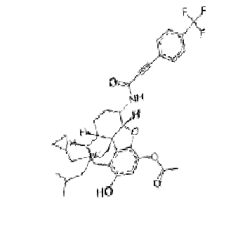 CC(=O)Oc1cc(O)c2c3c1O[C@H]1[C@@H](NC(=O)C#Cc4ccc(C(F)(F)F)cc4)CC[C@H]4[C@@H](C2)[N+](CC(C)C)(CC2CC2)CC[C@@]341